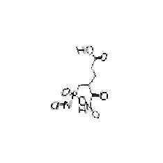 O=NC(=O)C(CCC(=O)O)CP(=O)(O)N=O